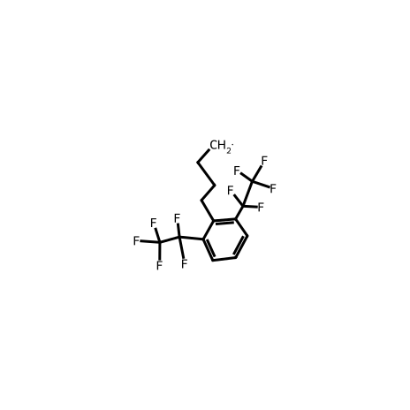 [CH2]CCCc1c(C(F)(F)C(F)(F)F)cccc1C(F)(F)C(F)(F)F